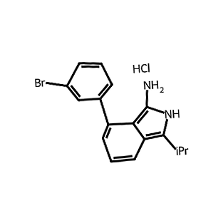 CC(C)c1[nH]c(N)c2c(-c3cccc(Br)c3)cccc12.Cl